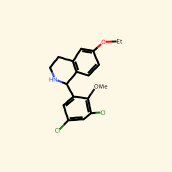 CCOc1ccc2c(c1)CCNC2c1cc(Cl)cc(Cl)c1OC